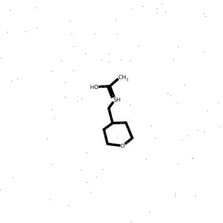 CC(O)=[SH]CC1CCOCC1